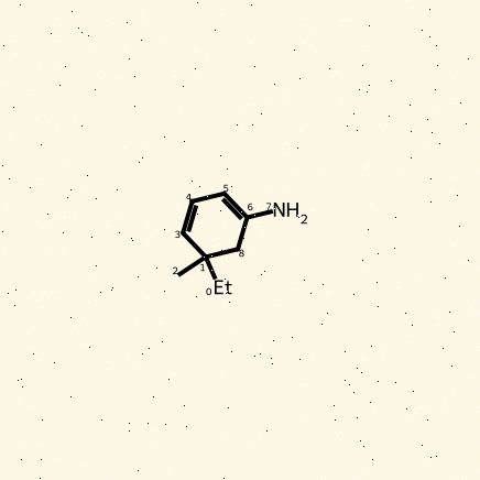 CCC1(C)C=CC=C(N)C1